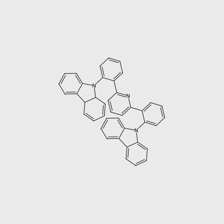 C1=CC2c3ccccc3N(c3ccccc3-c3cccc(-c4ccccc4-n4c5ccccc5c5ccccc54)n3)C2C=C1